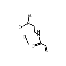 C=CC(=O)NCCN(CC)CC.CCl